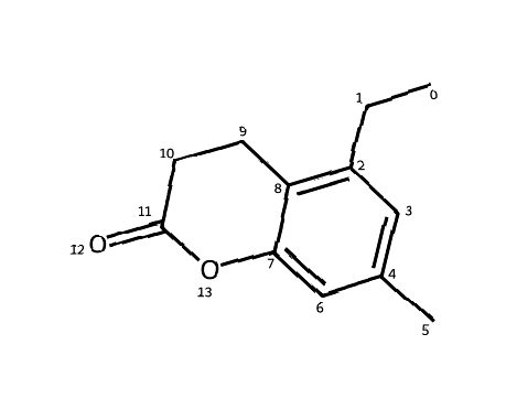 CCc1cc(C)cc2c1CCC(=O)O2